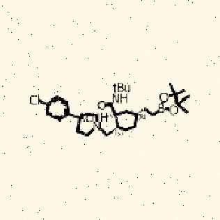 CC(=O)N[C@]1(C(=O)NC(C)(C)C)C[C@H](CCB2OC(C)(C)C(C)(C)O2)CC[C@H]1CN1CCC(c2ccc(Cl)cc2)CC1